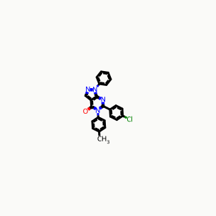 Cc1ccc(-n2c(-c3ccc(Cl)cc3)nc3c(cnn3-c3ccccc3)c2=O)cc1